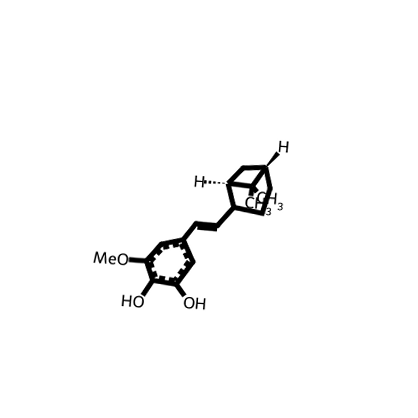 COc1cc(C=CC2CC[C@H]3C[C@H]2C3(C)C)cc(O)c1O